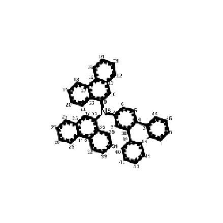 c1ccc(-c2ccc(N(c3cc4ccccc4c4ccccc34)c3cc4ccccc4c4ccccc34)cc2-c2ccccc2)cc1